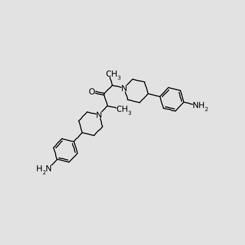 CC(C(=O)C(C)N1CCC(c2ccc(N)cc2)CC1)N1CCC(c2ccc(N)cc2)CC1